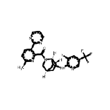 Cc1ccc(-c2ncccn2)c(C(=O)N2C[C@@H]3CC[C@H]2[C@H](Nc2ncc(C(F)(F)F)cc2F)C3)n1